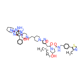 Cc1ncsc1-c1ccc(CNC(=O)[C@@H]2C[C@@H](O)CN2C(=O)[C@@H](c2cc(N3CCC(CCN4CCC(c5cnc(N6C7CCC6CN(c6cc(-c8ccccc8O)nnc6N)C7)nc5)CC4)CC3)no2)C(C)C)cc1